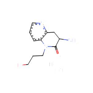 Cl.Cl.NC1Cc2ncccc2N(CCCO)C1=O